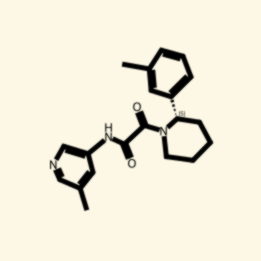 Cc1cncc(NC(=O)C(=O)N2CCCC[C@H]2c2cccc(C)c2)c1